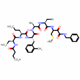 CCCCSCC(NC(=O)[C@H](CC(C)C)NC(=O)[C@@H](NC(=O)[C@H](Cc1ccccc1C)NC(=O)[C@H](CCC(=O)O)NC(=O)[C@H](CC(=O)O)NC(=O)CCC(=O)O)C(C)(C)C)C(=O)C(=O)NCc1ccccc1